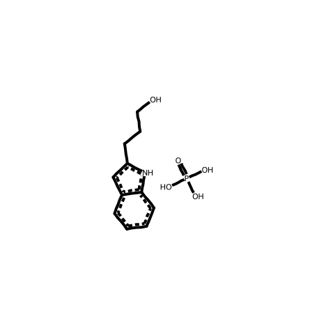 O=P(O)(O)O.OCCCc1cc2ccccc2[nH]1